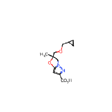 CC1(COCC2CC2)Cn2nc(C(=O)O)cc2O1